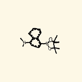 CN(C)c1ccc(B2OC(C)(C)C(C)(C)O2)c2ccccc12